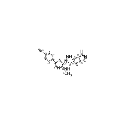 CNc1ncc(-c2ccc(C#N)nc2)nc1N(N)Cc1cc2[nH]ncc2s1